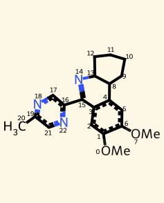 COc1cc2c(cc1OC)C1CCCCC1N=C2c1cnc(C)cn1